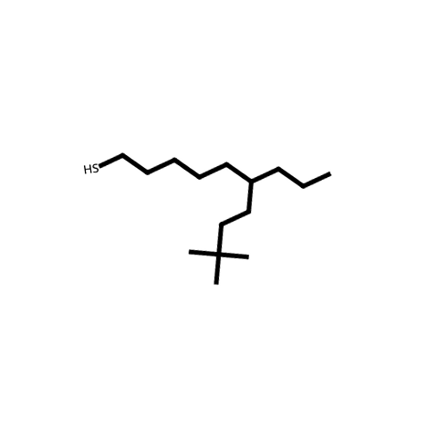 CCCC(CCCCCS)CCC(C)(C)C